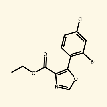 CCOC(=O)c1ncoc1-c1ccc(Cl)cc1Br